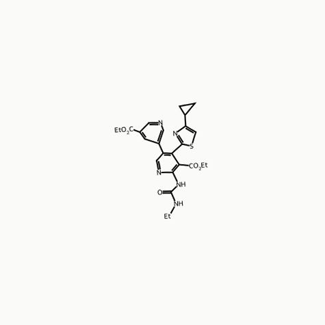 CCNC(=O)Nc1ncc(-c2cncc(C(=O)OCC)c2)c(-c2nc(C3CC3)cs2)c1C(=O)OCC